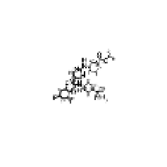 CC(C)OC(=O)N1CCCC(Nc2ncc3nc(Nc4c(F)cc(F)cc4F)n(C4CCC(C(N)=O)CC4)c3n2)C1